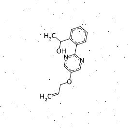 C=CCOc1cnc(-c2ccccc2C(C)O)nc1